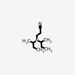 CCC(C)N(CCC#N)C(C)CC